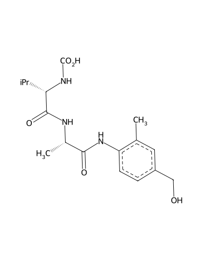 Cc1cc(CO)ccc1NC(=O)[C@H](C)NC(=O)[C@@H](NC(=O)O)C(C)C